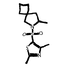 Cc1nc(C)c(S(=O)(=O)N2CC3(CCC3)CC2C)s1